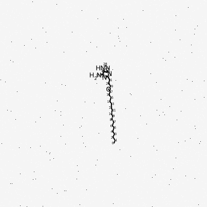 CCCCCCCCCCCCCCCCCCOCCCc1nc(N)c2[nH]cnc2n1